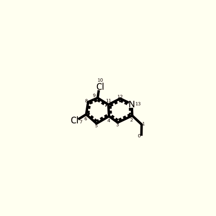 CCc1cc2cc(Cl)cc(Cl)c2cn1